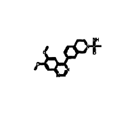 COc1cc2ncnc(-c3ccc4c(c3)CN(S(C)(=N)=O)CC4)c2cc1OC